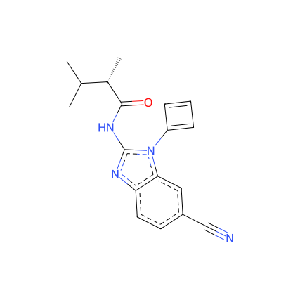 CC(C)[C@H](C)C(=O)Nc1nc2ccc(C#N)cc2n1C1=CC=C1